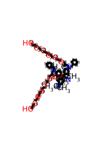 Cc1cc(N(Cc2ccccc2)CC(C)COCCOCCOCCOCCOCCO)ccc1C(C#N)(c1ccc(N(C)C)cc1)c1ccc(N(Cc2ccccc2)CC(O)COCCOCCOCCOCCOCCO)cc1C